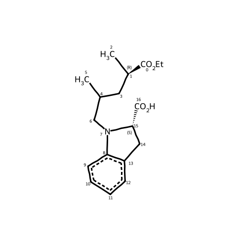 CCOC(=O)[C@H](C)CC(C)CN1c2ccccc2C[C@H]1C(=O)O